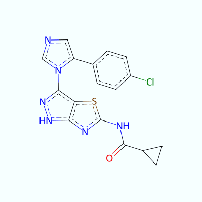 O=C(Nc1nc2[nH]nc(-n3cncc3-c3ccc(Cl)cc3)c2s1)C1CC1